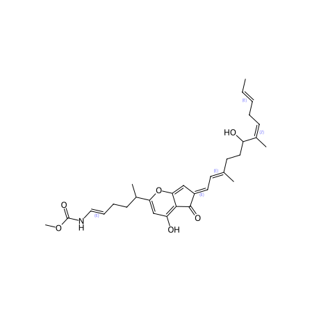 C/C=C/C/C=C(/C)C(O)CC/C(C)=C/C=C1\C=C2OC(C(C)CC/C=C/NC(=O)OC)=CC(O)=C2C1=O